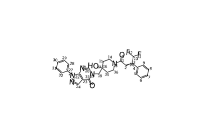 O=C(C[C@H](c1ccccc1)C(F)F)N1CCC(O)(Cn2cnc3c(cnn3-c3ccccc3)c2=O)CC1